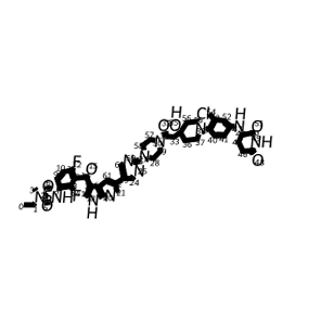 CCN(C)S(=O)(=O)Nc1ccc(F)c(C(=O)c2c[nH]c3ncc(-c4cnc(N5CCN(C(=O)CC6(O)CCN(c7ccc(N[C@H]8CCC(=O)NC8=O)cc7Cl)CC6)CC5)nc4)cc23)c1F